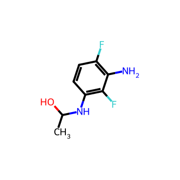 CC(O)Nc1ccc(F)c(N)c1F